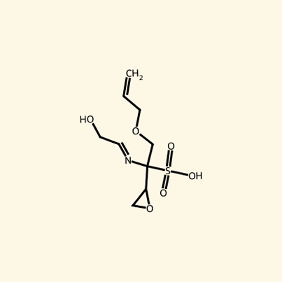 C=CCOCC(N=CCO)(C1CO1)S(=O)(=O)O